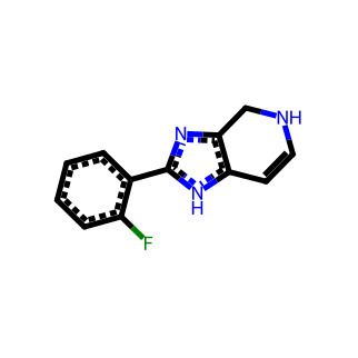 Fc1ccccc1-c1nc2c([nH]1)C=CNC2